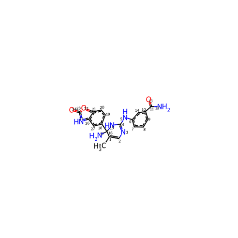 CC1=CN=C(Nc2cccc(C(N)=O)c2)NC1(N)c1ccc2oc(=O)[nH]c2c1